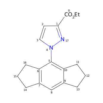 CCOC(=O)c1ccn(-c2c3c(cc4c2CCC4)CCC3)n1